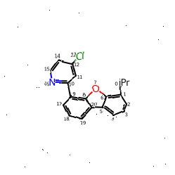 CC(C)c1cccc2c1oc1c(-c3cc(Cl)ccn3)cccc12